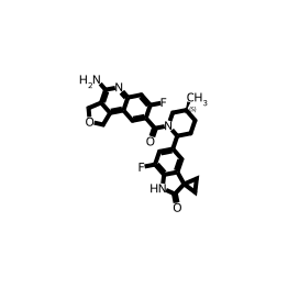 C[C@H]1CCC(c2cc(F)c3c(c2)C2(CC2)C(=O)N3)N(C(=O)c2cc3c4c(c(N)nc3cc2F)COC4)C1